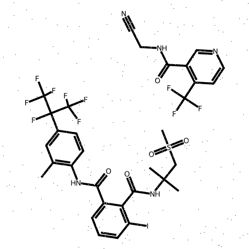 Cc1cc(C(F)(C(F)(F)F)C(F)(F)F)ccc1NC(=O)c1cccc(I)c1C(=O)NC(C)(C)CS(C)(=O)=O.N#CCNC(=O)c1cnccc1C(F)(F)F